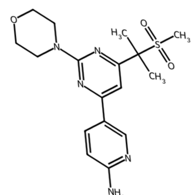 CC(C)(c1cc(-c2ccc(N)nc2)nc(N2CCOCC2)n1)S(C)(=O)=O